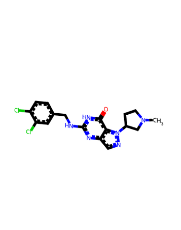 CN1CCC(n2ncc3nc(NCc4ccc(Cl)c(Cl)c4)[nH]c(=O)c32)C1